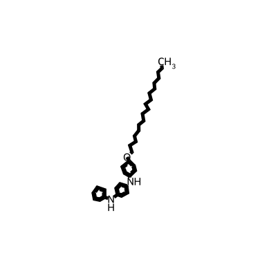 CCCCCCCCCCCCCCCCCCOc1ccc(Nc2ccc(Nc3ccccc3)cc2)cc1